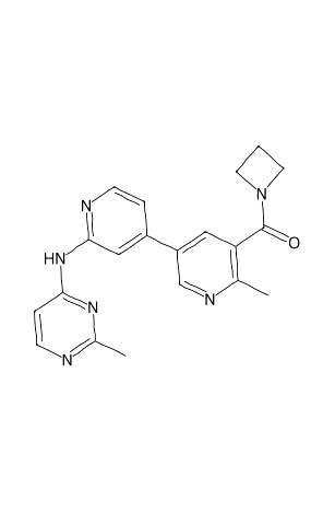 Cc1nccc(Nc2cc(-c3cnc(C)c(C(=O)N4CCC4)c3)ccn2)n1